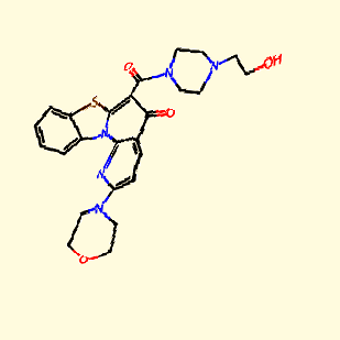 O=C(c1c(=O)c2ccc(N3CCOCC3)nc2n2c1sc1ccccc12)N1CCN(CCO)CC1